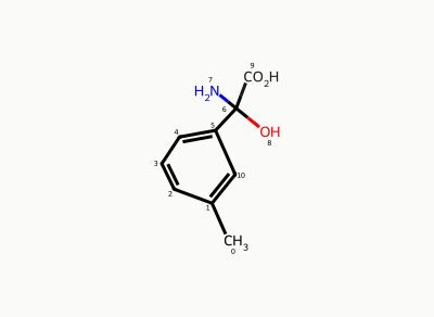 Cc1cccc(C(N)(O)C(=O)O)c1